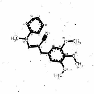 COc1cc(CC(C#N)=CN(C)c2ccccc2)cc(OC)c1OC